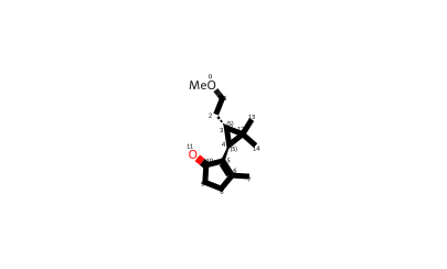 COCC[C@H]1[C@H](C2=C(C)CCC2=O)C1(C)C